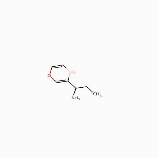 CCC(C)C1=COC=CB1